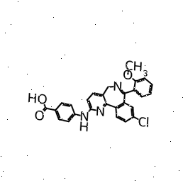 COc1ccccc1C1=NCc2ccc(Nc3ccc(C(=O)O)cc3)nc2-c2ccc(Cl)cc21